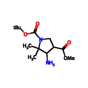 COC(=O)C1CN(C(=O)OC(C)(C)C)C(C)(C)C1N